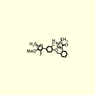 COc1c(F)c(-c2ccc(OCc3ccccc3-n3nnn(C)c3=O)c(C)c2)nn1C